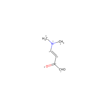 CN(C)C=CC(=O)C=O